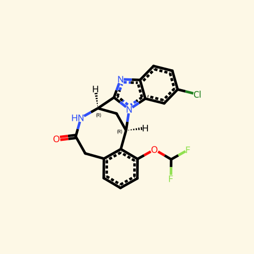 O=C1Cc2cccc(OC(F)F)c2[C@H]2C[C@@H](N1)c1nc3ccc(Cl)cc3n12